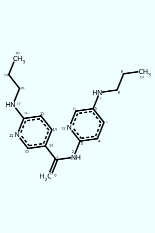 C=C(Nc1ccc(NCCC)cn1)c1ccc(NCCC)nc1